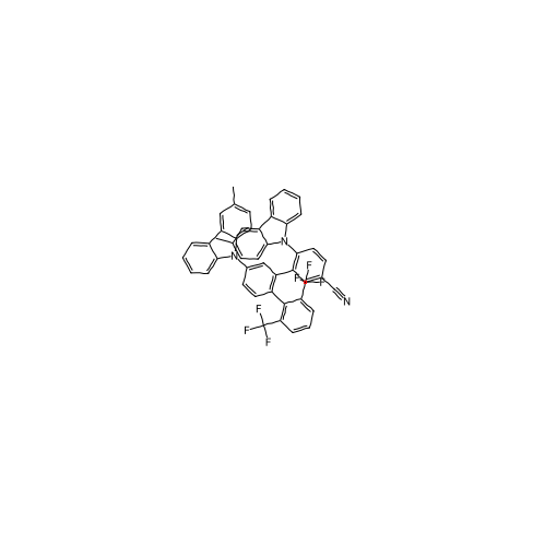 Cc1ccc2c(c1)c1ccccc1n2-c1ccc(-c2c(C(F)(F)F)cccc2C(F)(F)F)c(-c2cc(C#N)ccc2-n2c3ccccc3c3cc(C)ccc32)c1